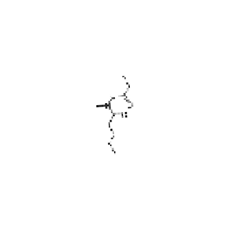 CCC(=O)ON(C)C(=O)CCSC